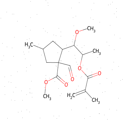 C=C(C)C(=O)OC(C)C(OC)C1CC(C)CC1(C=O)C(=O)OC